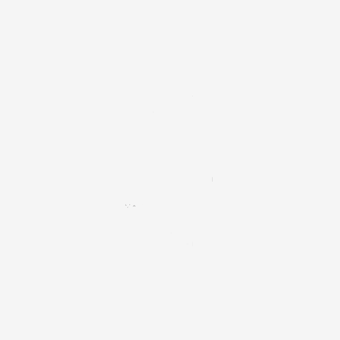 COc1cc(-c2ccc(Cl)c(C)c2)c(F)cc1B(O)O